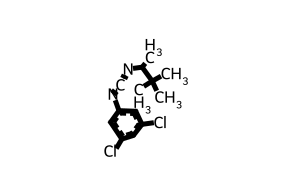 CC(N=C=Nc1cc(Cl)cc(Cl)c1)C(C)(C)C